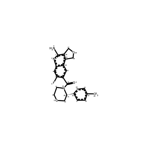 Nc1nc2cc(F)c(C(=O)N3CCOC[C@H]3c3ccc(C(F)(F)F)cn3)cc2c2c1COC2